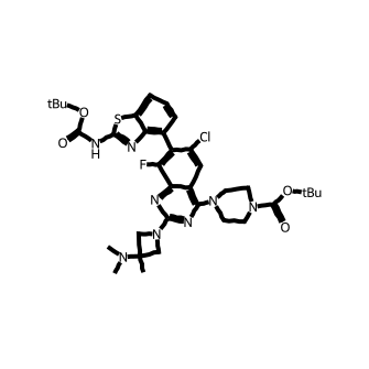 CN(C)C1(C)CN(c2nc(N3CCN(C(=O)OC(C)(C)C)CC3)c3cc(Cl)c(-c4cccc5sc(NC(=O)OC(C)(C)C)nc45)c(F)c3n2)C1